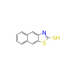 Sc1nc2cc3ccccc3cc2s1